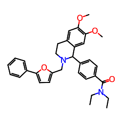 CCN(CC)C(=O)c1ccc(C2c3cc(OC)c(OC)cc3CCN2Cc2ccc(-c3ccccc3)o2)cc1